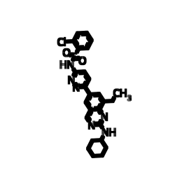 CCc1cc(-c2ccc(NS(=O)(=O)c3ccccc3Cl)nn2)cc2cnc(NC3CCCCC3)nc12